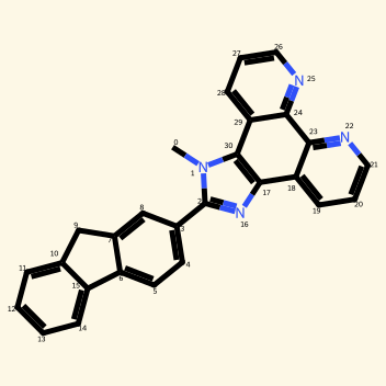 Cn1c(-c2ccc3c(c2)Cc2ccccc2-3)nc2c3cccnc3c3ncccc3c21